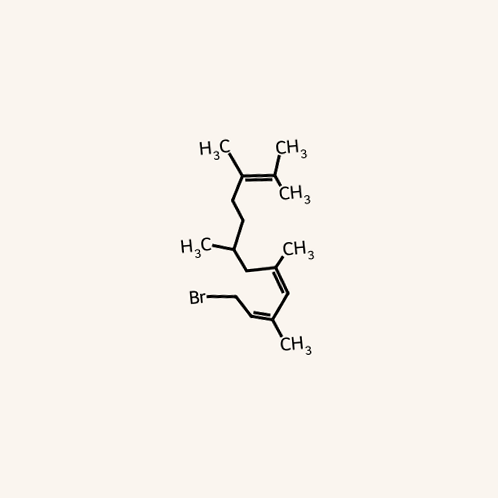 CC(=CCBr)C=C(C)CC(C)CCC(C)=C(C)C